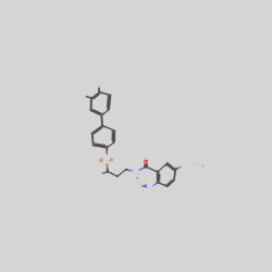 COc1ccc2nnn(CCC(C(=O)O)S(=O)(=O)c3ccc(-c4ccc(C)c(C)c4)cc3)c(=O)c2c1